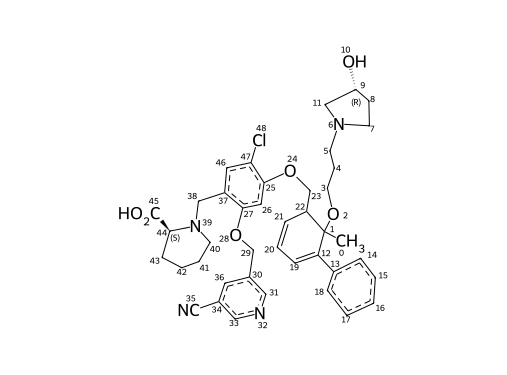 CC1(OCCCN2CC[C@@H](O)C2)C(c2ccccc2)=CC=CC1COc1cc(OCc2cncc(C#N)c2)c(CN2CCCC[C@H]2C(=O)O)cc1Cl